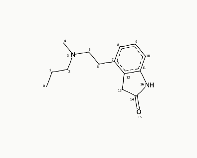 CCCN(C)CCc1cccc2c1CC(=O)N2